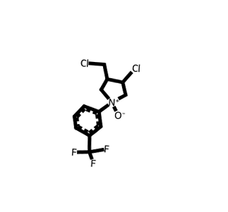 [O-][N+]1(c2cccc(C(F)(F)F)c2)CC(Cl)C(CCl)C1